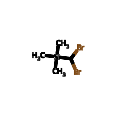 C[Si](C)(C)[C](Br)Br